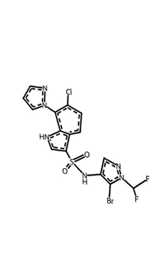 O=S(=O)(Nc1cnn(C(F)F)c1Br)c1c[nH]c2c(-n3cccn3)c(Cl)ccc12